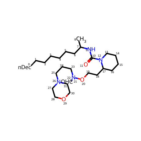 CCCCCCCCCCCCCCCCC(C)NC(=O)N1CCCCC1CCON(C=O)CCCN1CCOCC1